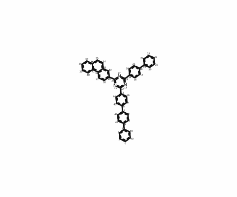 c1ccc(-c2ccc(-c3ccc(-c4nc(-c5ccc(-c6ccccc6)cc5)nc(-c5ccc6c(ccc7ccccc76)c5)n4)cc3)cc2)cc1